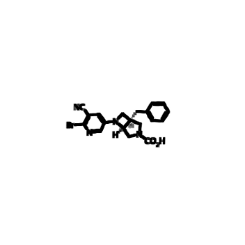 N#Cc1cc(N2C[C@@]3(Cc4ccccc4)CN(C(=O)O)C[C@@H]23)cnc1Br